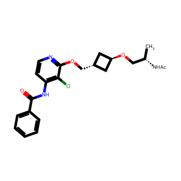 CC(=O)N[C@@H](C)CO[C@H]1C[C@H](COc2nccc(NC(=O)c3ccccc3)c2Cl)C1